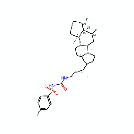 Cc1ccc(S(=O)(=O)NC(=O)NCC[C@@H](C)C2CCC3C4C[C@H](C)[C@@H]5[C@@H](F)CCC[C@]5(C)C4CC[C@@]32C)cc1